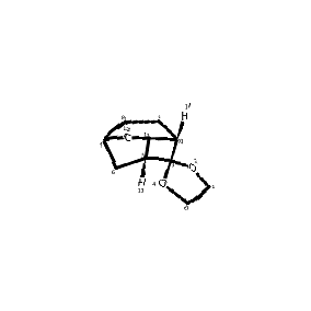 C1COC2(O1)[C@@H]1CC3CC[C@H]2C1C3